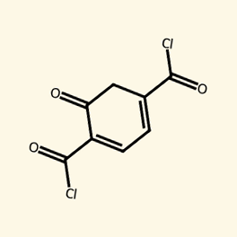 O=C(Cl)C1=CC=C(C(=O)Cl)C(=O)C1